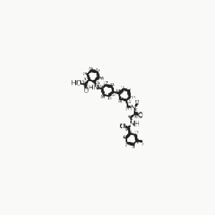 Cc1cccc(C(=O)NCC(=O)N(C)Cc2cccc(-c3ccc(Nc4ccccc4C(=O)O)cc3)c2)c1